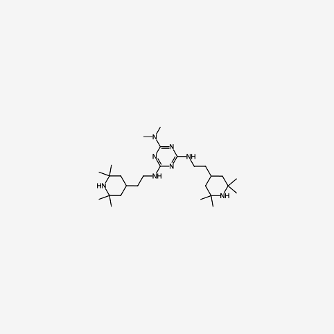 CN(C)c1nc(NCCC2CC(C)(C)NC(C)(C)C2)nc(NCCC2CC(C)(C)NC(C)(C)C2)n1